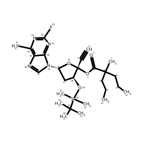 C#C[C@]1(OC(=O)C(C)(CCC)CCC)O[C@@H](n2cnc3c(N)nc(F)nc32)C[C@@H]1O[Si](C)(C)C(C)(C)C